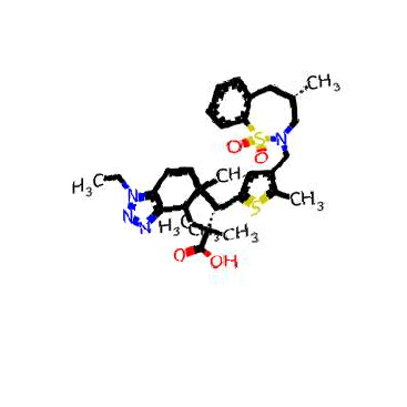 CCn1nnc2c1C=CC(C)([C@H](c1cc(CN3C[C@@H](C)Cc4ccccc4S3(=O)=O)c(C)s1)C(C)(C)C(=O)O)C2C